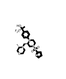 C[C@H]1COCCN1C[C@@H]1CN(S(=O)(=O)c2cccs2)CCN1c1ccc([C@](C)(O)C(F)(F)F)cc1